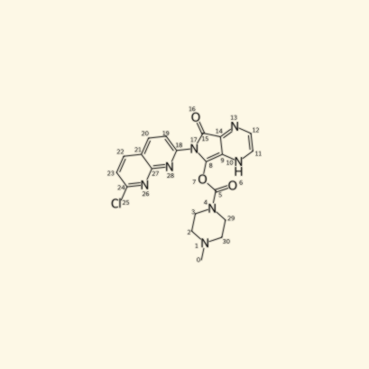 CN1CCN(C(=O)Oc2c3[nH]ccnc-3c(=O)n2-c2ccc3ccc(Cl)nc3n2)CC1